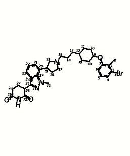 Cc1c(Br)cccc1OC1CCC(CCCN2CC[C@@H](c3cccc4c(C5CCC(=O)NC5=O)nn(C)c34)C2)CC1